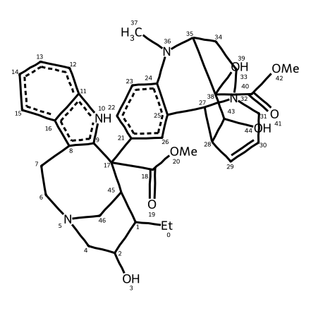 CCC1C(O)CN2CCc3c([nH]c4ccccc34)C(C(=O)OC)(c3ccc4c(c3)C3C5C=CCN3CCC(N4C)C(O)(C(=O)OC)C5O)C1C2